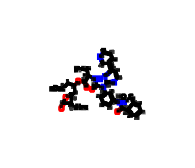 CCCCCCCCCCCC(C[C@@H]1OC(=O)[C@H]1CCCCCC)OC(=O)C(CC(C)C)NC(=O)N(c1cccc(NC(=O)c2ccccc2C(=O)O)c1)c1nccc(-c2cccnc2)n1